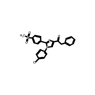 CS(=O)(=O)c1ccc(-c2nc(C(=O)Cc3ccccc3)cn2-c2ccc(Cl)cc2)cc1